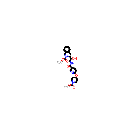 CC(C)(C)OC(=O)N1CCC(Oc2ccc(C(=O)NC[C@@H](O)[C@@H]3Cc4ccccc4CN3C(=O)OC(C)(C)C)cn2)CC1